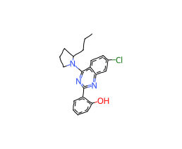 CCCC1CCCN1c1nc(-c2ccccc2O)nc2cc(Cl)ccc12